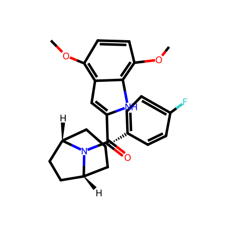 COc1ccc(OC)c2[nH]c(C(=O)N3[C@@H]4CC[C@H]3C[C@@H](c3ccc(F)cc3)C4)cc12